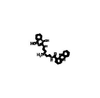 CN(CCNC(=O)c1cccc2nc3ccccc3nc12)CCNC1=NN(O)c2ccccc2N1O